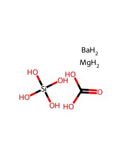 O=C(O)O.O[Si](O)(O)O.[BaH2].[MgH2]